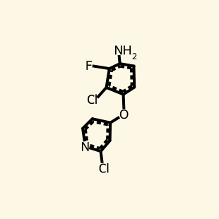 Nc1ccc(Oc2ccnc(Cl)c2)c(Cl)c1F